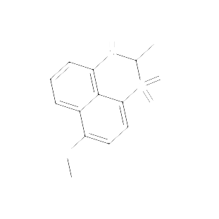 COc1ccc2c3c(cccc13)NC(C)S2(=O)=O